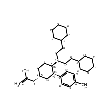 C=C(O)C[C@@H]1CC[C@@H](N(CCC2CCCCC2)CCC2CCCCC2)[C@H](c2ccc(C#N)cc2)C1